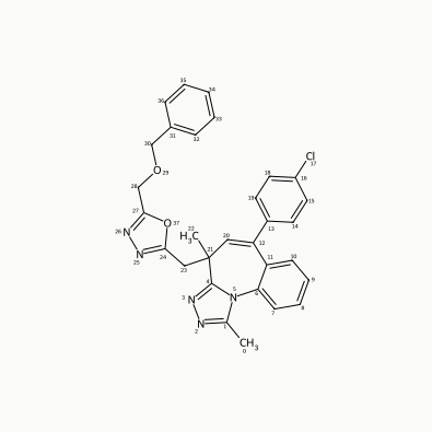 Cc1nnc2n1-c1ccccc1C(c1ccc(Cl)cc1)=CC2(C)Cc1nnc(COCc2ccccc2)o1